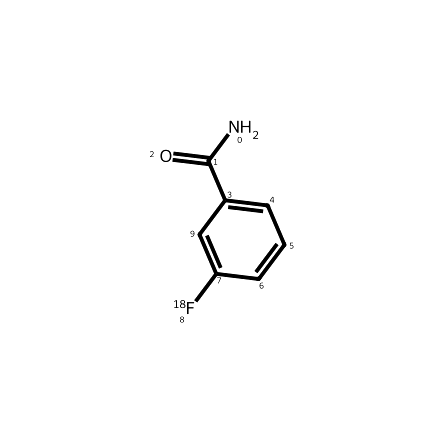 NC(=O)c1cccc([18F])c1